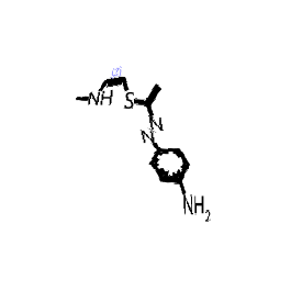 C=C(N=Nc1ccc(N)cc1)S/C=C\NC